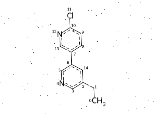 CCc1cncc(-c2ccc(Cl)nc2)c1